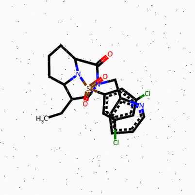 CCC1CN(Cc2ccccn2)C(=O)C2CCCC1N2S(=O)(=O)c1cc(Cl)cc(Cl)c1